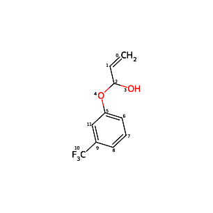 C=CC(O)Oc1cccc(C(F)(F)F)c1